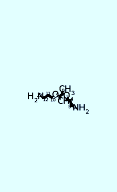 CC(OCCCN)C(C)OCCCN